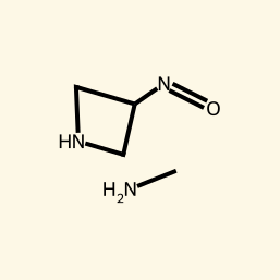 CN.O=NC1CNC1